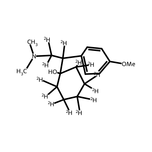 [2H]C([2H])(N(C)C)C([2H])(c1ccc(OC)cc1)C1(O)C([2H])([2H])C([2H])([2H])C([2H])([2H])C([2H])([2H])C1([2H])[2H]